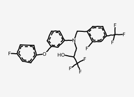 OC(CN(Cc1ccc(C(F)(F)F)cc1F)c1cccc(Oc2ccc(F)cc2)c1)C(F)(F)F